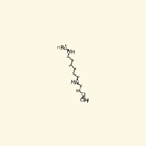 CCCCNCCCCCCNCCOO